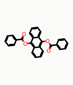 O=C(Oc1c2ccccc2c(OC(=O)c2ccccc2)c2ccccc12)c1ccccc1